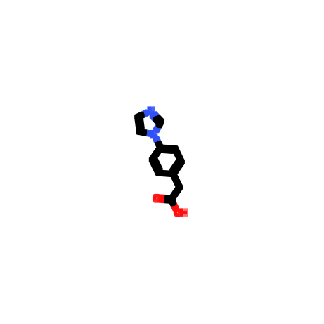 O=C(O)Cc1ccc(-n2ccnc2)cc1